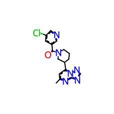 Cc1cc(C2CCCN(C(=O)c3cncc(Cl)c3)C2)n2ncnc2n1